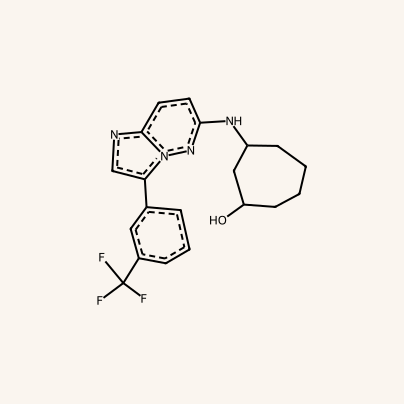 OC1CCCCC(Nc2ccc3ncc(-c4cccc(C(F)(F)F)c4)n3n2)C1